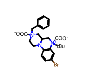 CC(C)(C)[N+]1(C(=O)[O-])CC2C[N+](Cc3ccccc3)(C(=O)[O-])CCN2c2ccc(Br)cc21